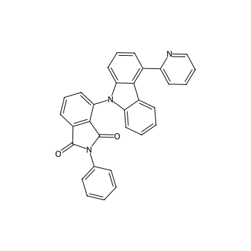 O=C1c2cccc(-n3c4ccccc4c4c(-c5ccccn5)cccc43)c2C(=O)N1c1ccccc1